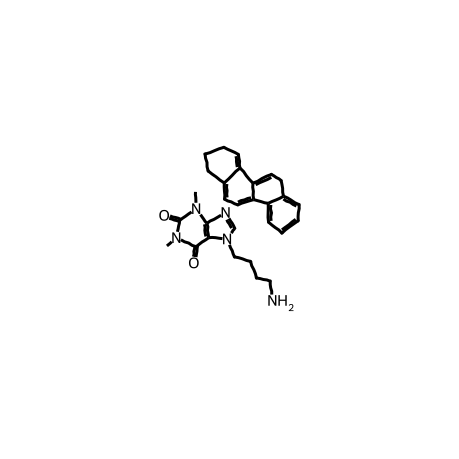 C1=c2c(ccc3c2=CCc2ccccc2-3)CCC1.Cn1c(=O)c2c(ncn2CCCCN)n(C)c1=O